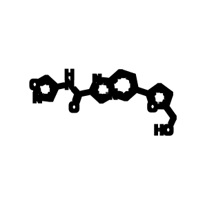 O=C(Nc1cnoc1)c1cn2cc(-c3ccc(CO)o3)ccc2n1